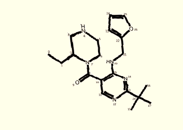 CCC1CNCCN1C(=O)c1cnc(C(C)(C)C)nc1NCc1ccco1